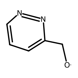 [O]Cc1cccnn1